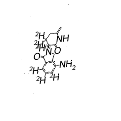 [2H]c1c([2H])c(N)c2c(c1[2H])C(=O)N([C@]1([2H])C(=O)NC(=C)CC1([2H])[2H])C2